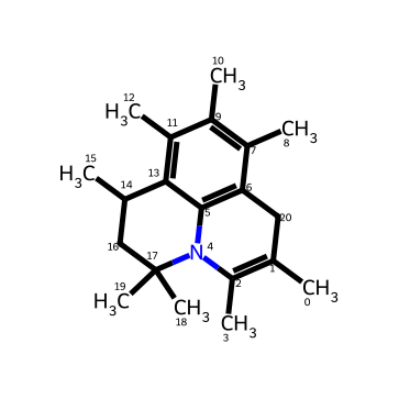 CC1=C(C)N2c3c(c(C)c(C)c(C)c3C(C)CC2(C)C)C1